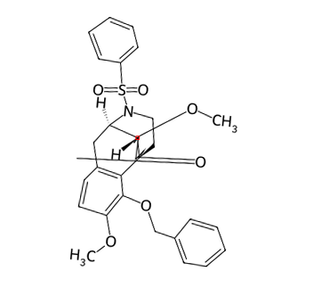 COc1ccc2c(c1OCc1ccccc1)[C@]13CCN(S(=O)(=O)c4ccccc4)[C@H](C2)[C@@H]1CC(OC)C(=O)C3